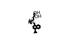 OCC(O)CCc1nncn1Cc1ccc(C2CC2)c2ccccc12